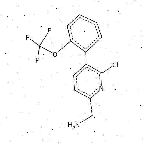 NCc1ccc(-c2ccccc2OC(F)(F)F)c(Cl)n1